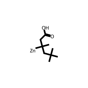 CC(C)(C)CC(C)(C)CC(=O)O.[Zn]